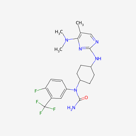 Cc1cnc(NC2CCC(N(C(N)=O)c3ccc(F)c(C(F)(F)F)c3)CC2)nc1N(C)C